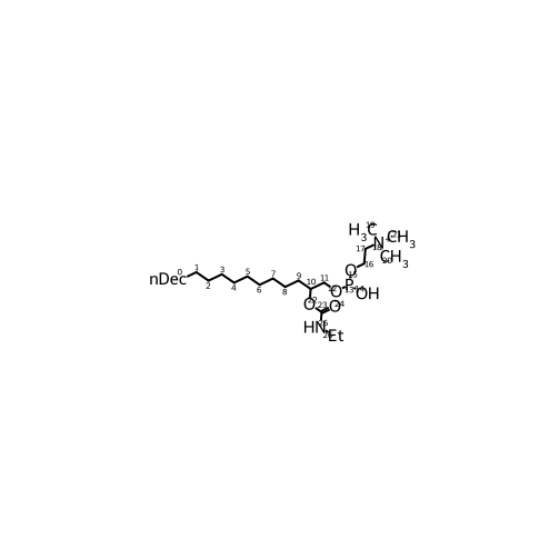 CCCCCCCCCCCCCCCCCCCC(COP(O)OCC[N+](C)(C)C)OC(=O)NCC